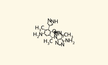 COc1c(C(C)Nc2ncnc(N)c2C(C)=N)cc(N)c(C)c1-c1cn[nH]c1